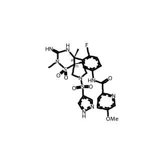 COc1ccc(C(=O)Nc2ccc(F)c([C@@]3(C)NC(=N)N(C)S(=O)(=O)[C@]34CCN(S(=O)(=O)c3cn[nH]c3)C4)c2)nc1